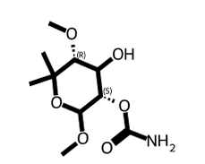 COC1OC(C)(C)[C@H](OC)C(O)[C@@H]1OC(N)=O